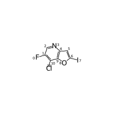 Fc1cnc2cc(I)oc2c1Cl